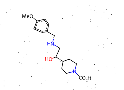 COc1ccc(CNCC(O)C2CCN(C(=O)O)CC2)cc1